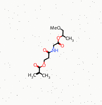 C=C(C)C(=O)OCCC(=O)NCC(=O)OC(C)COC